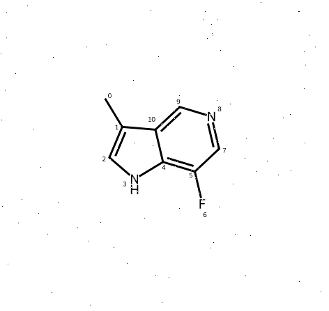 Cc1c[nH]c2c(F)cncc12